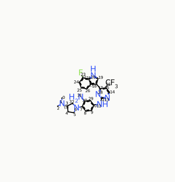 CN(C)[C@H]1CCN(c2ccc(Nc3ncc(C(F)(F)F)c(-c4c[nH]c5c(F)cccc45)n3)cc2N)C1